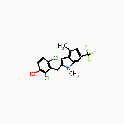 Cc1cc(C(F)(F)F)cc2c1cc(Cc1c(Cl)ccc(O)c1Cl)n2C